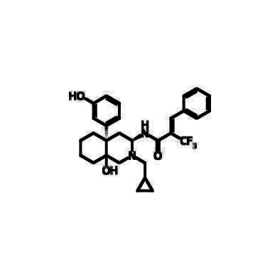 O=C(N[C@@H]1C[C@]2(c3cccc(O)c3)CCCCC2(O)CN1CC1CC1)C(=Cc1ccccc1)C(F)(F)F